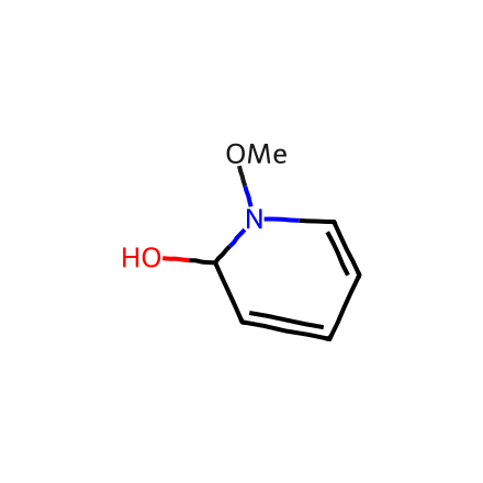 CON1C=CC=CC1O